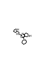 C1CCCN(c2nc(NCC3CCCN3)nc3c2CNCC3)CC1